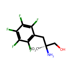 N[C@](CO)(Cc1c(F)c(F)c(F)c(F)c1F)C(=O)O